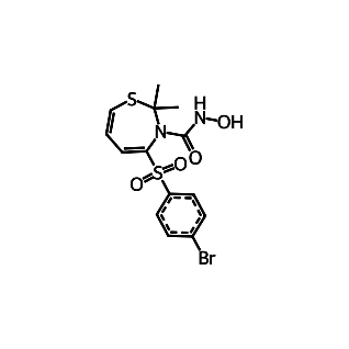 CC1(C)SC=CC=C(S(=O)(=O)c2ccc(Br)cc2)N1C(=O)NO